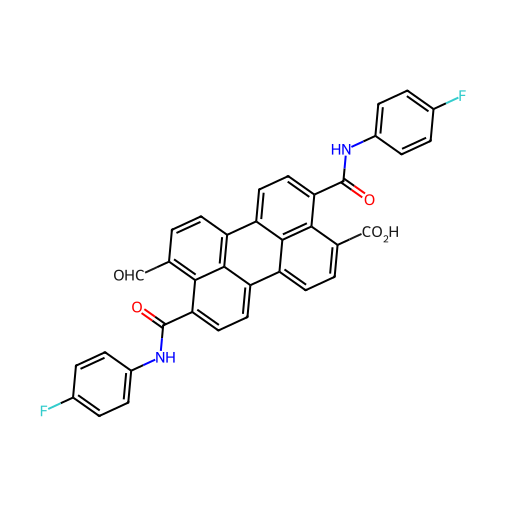 O=Cc1ccc2c3ccc(C(=O)Nc4ccc(F)cc4)c4c(C(=O)O)ccc(c5ccc(C(=O)Nc6ccc(F)cc6)c1c52)c43